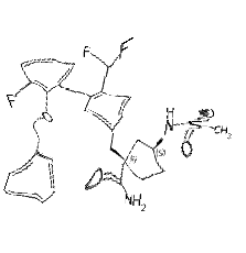 CS(=O)(=O)N[C@H]1CC[C@](Cc2ccc(C(F)F)c(-c3cccc(F)c3OCc3ccccc3)c2)(C(N)=O)C1